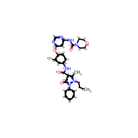 CCCn1c(C)c(C(=O)Nc2ccc(Oc3cc(NC(=O)N4CCOCC4)ncn3)c(F)c2)c(=O)n1-c1ccccc1